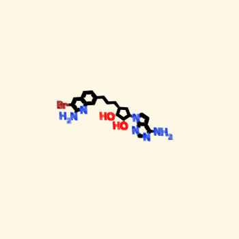 Nc1nc2cc(CCC[C@H]3C[C@@H](n4ccc5c(N)ncnc54)[C@H](O)[C@@H]3O)ccc2cc1Br